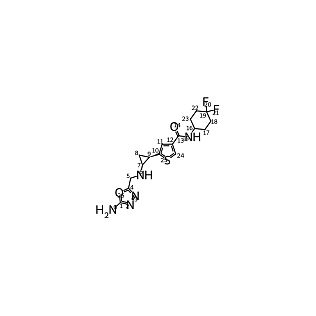 Nc1nnc(CNC2C[C@H]2c2cc(C(=O)NC3CCC(F)(F)CC3)cs2)o1